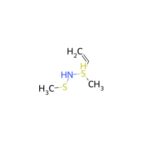 C=C[SH](C)NSC